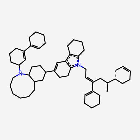 C[C@@H](C/C(=C\Cn1c2c(c3c1CCCC3)C=C(C1CCC3C(CCCCCCN3C3C=C(C4=CCCCC4)CCC3)C1)CC2)C1=CCCCC1)[C@@H]1CC=CCC1